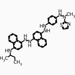 CCC(C)Nc1ccc(NNc2ccc(NNc3ccc(NN(C)c4nccs4)cc3)c3ccccc23)c2ccccc12